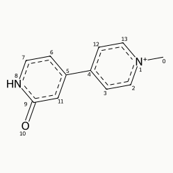 C[n+]1ccc(-c2cc[nH]c(=O)c2)cc1